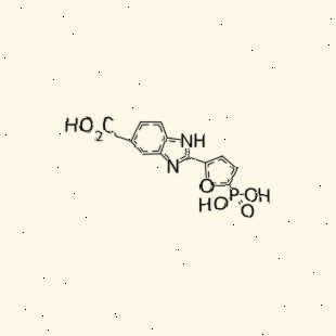 O=C(O)Cc1ccc2[nH]c(-c3ccc(P(=O)(O)O)o3)nc2c1